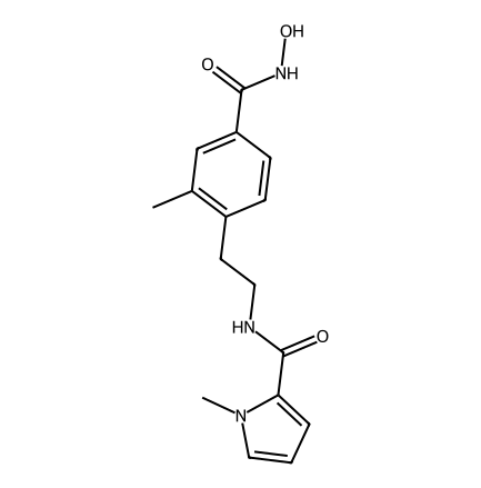 Cc1cc(C(=O)NO)ccc1CCNC(=O)c1cccn1C